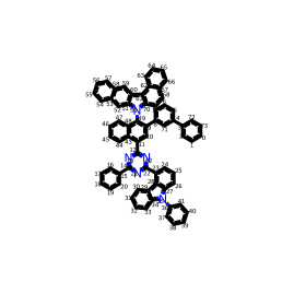 c1ccc(-c2cccc(-c3cc(-c4nc(-c5ccccc5)nc(-c5cccc6c5c5ccccc5n6-c5ccccc5)n4)c4ccccc4c3-n3c4cc5ccccc5cc4c4c5ccccc5ccc43)c2)cc1